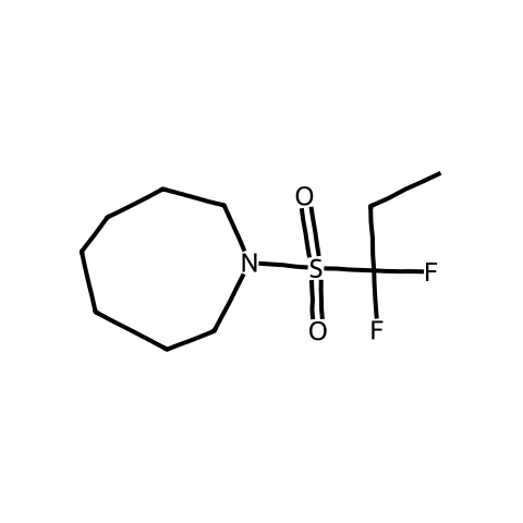 CCC(F)(F)S(=O)(=O)N1CCCCCCC1